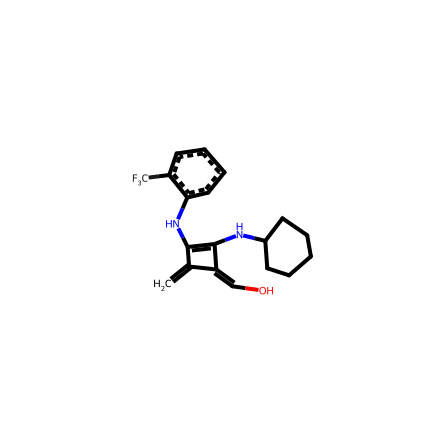 C=C1C(Nc2ccccc2C(F)(F)F)=C(NC2CCCCC2)/C1=C\O